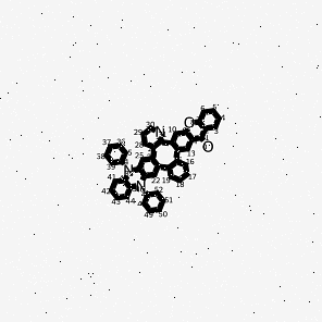 O=c1c2ccccc2oc2cc3c(cc12)c1ccccc1c1cc2c(cc1c1cccnc13)n(-c1ccccc1)c1ccccc1n2-c1ccccc1